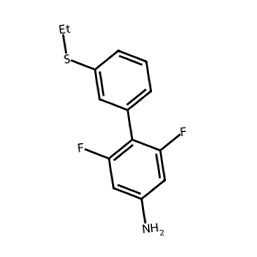 CCSc1cccc(-c2c(F)cc(N)cc2F)c1